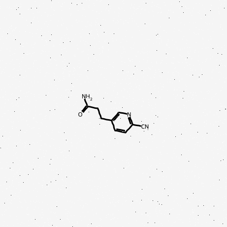 N#Cc1ccc([CH]CC(N)=O)cn1